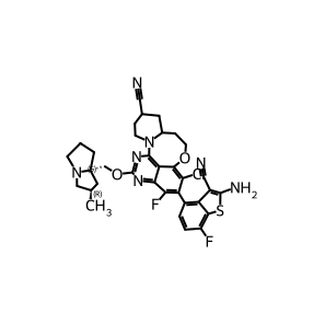 C[C@H]1CN2CCC[C@@]2(COc2nc3c4c(c(Cl)c(-c5ccc(F)c6sc(N)c(C#N)c56)c(F)c4n2)OCCC2CC(C#N)CCN32)C1